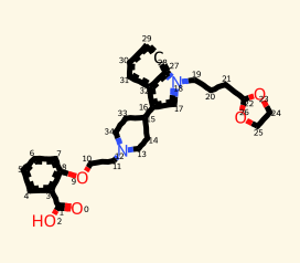 O=C(O)c1ccccc1OCCN1CCC(c2cn(CCCC3OCCO3)c3ccccc23)CC1